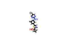 CCc1cnc(Nc2cc(C)cc(-c3cnc(C4(O)CCC4)s3)c2)nc1